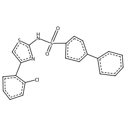 O=S(=O)(Nc1nc(-c2ccccc2Cl)cs1)c1ccc(-c2ccccc2)cc1